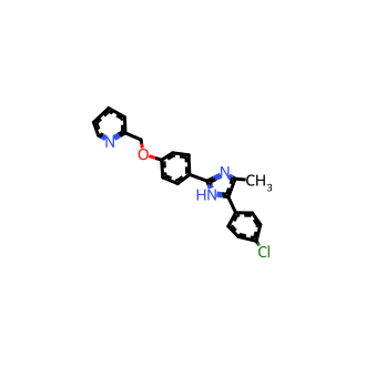 Cc1nc(-c2ccc(OCc3ccccn3)cc2)[nH]c1-c1ccc(Cl)cc1